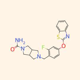 NC(=O)N1CC2CN(Cc3ccc(Oc4nc5ccccc5s4)cc3F)CC2C1